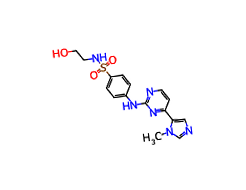 Cn1cncc1-c1ccnc(Nc2ccc(S(=O)(=O)NCCO)cc2)n1